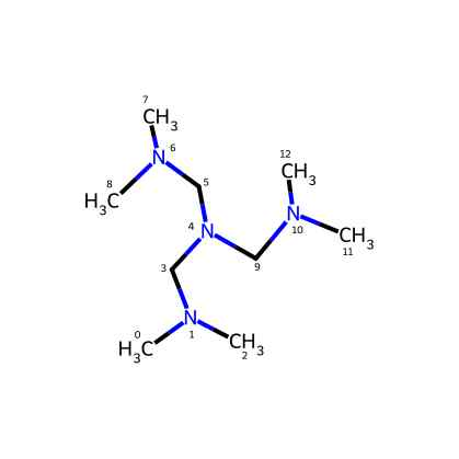 CN(C)CN(CN(C)C)CN(C)C